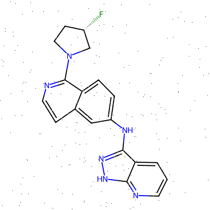 F[C@H]1CCN(c2nccc3cc(Nc4n[nH]c5ncccc45)ccc23)C1